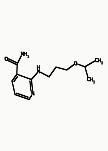 CC(C)OCCCNc1ncccc1C(N)=O